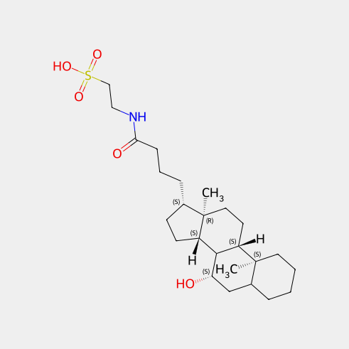 C[C@]12CC[C@H]3C([C@@H](O)CC4CCCC[C@@]43C)[C@@H]1CC[C@@H]2CCCC(=O)NCCS(=O)(=O)O